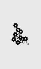 CC1(C)c2ccccc2-c2cc(N(c3cccc4cc(-c5ccccc5)ccc34)c3cccc4c3oc3c(-c5ccccc5)cccc34)ccc21